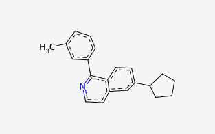 Cc1cccc(-c2nccc3cc(C4CCCC4)ccc23)c1